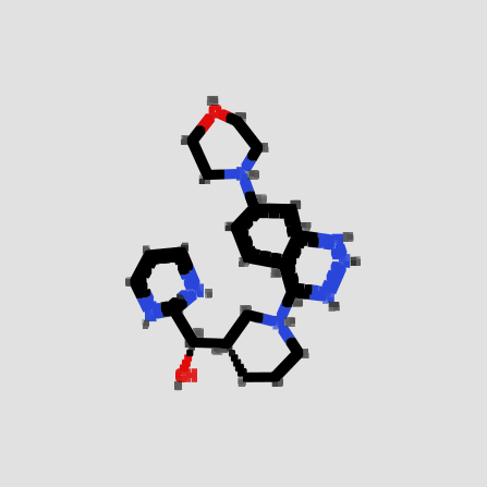 O[C@H](c1ncccn1)[C@H]1CCCN(c2nnnc3cc(N4CCOCC4)ccc23)C1